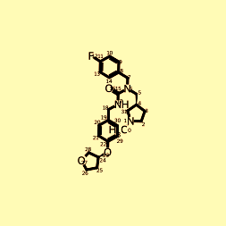 CN1CC[C@H](CN(Cc2ccc(F)cc2)C(=O)NCc2ccc(O[C@H]3CCOC3)cc2)C1